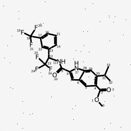 COC(=O)c1cc2cc(C(=O)NC(c3cccc(C(F)(F)F)c3)C(F)(F)F)[nH]c2cc1C(C)C